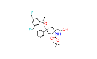 C[C@@H](OCC1(c2ccccc2)CCC(CCO)(NC(=O)OC(C)(C)C)CC1)c1cc(CF)cc(CF)c1